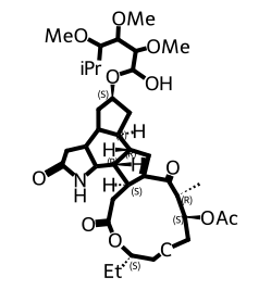 CC[C@H]1CCC[C@H](OC(C)=O)[C@@H](C)C(=O)C2=C[C@@H]3[C@@H](C4NC(=O)CC4C4C[C@@H](OC(O)C(OC)C(OC)C(OC)C(C)C)C[C@H]43)[C@@H]2CC(=O)O1